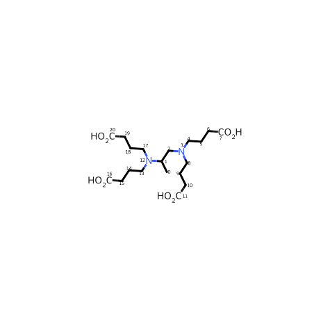 CC(CN(CCCC(=O)O)CCCC(=O)O)N(CCCC(=O)O)CCCC(=O)O